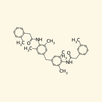 Cc1cccc(CC(=O)Nc2c(C)cc(Cc3cc(C)c(NC(=O)Cc4ccccc4C)c(C)c3)cc2C)c1